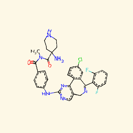 CN(C(=O)c1ccc(Nc2ncc3c(n2)-c2ccc(Cl)cc2C(c2c(F)cccc2F)=NC3)cc1)C(=O)C1(N)CCNCC1